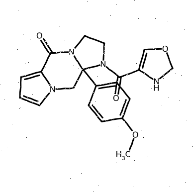 COc1ccc(C23Cn4cccc4C(=O)N2CCN3C(=O)C2=COCN2)cc1